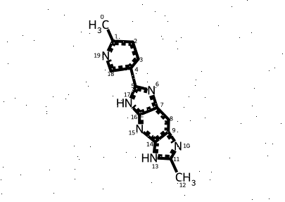 Cc1ccc(-c2nc3cc4nc(C)[nH]c4nc3[nH]2)cn1